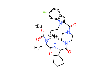 COCCn1c(C(=O)N2CCN(C(=O)[C@@H](NC(=O)[C@H](C)N(C)C(=O)OC(C)(C)C)C3CCCCC3)CC2)cc2ccc(F)cc21